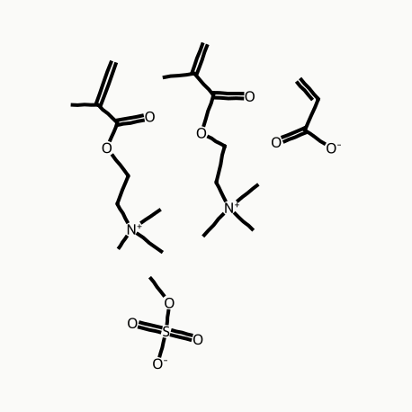 C=C(C)C(=O)OCC[N+](C)(C)C.C=C(C)C(=O)OCC[N+](C)(C)C.C=CC(=O)[O-].COS(=O)(=O)[O-]